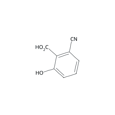 N#Cc1cccc(O)c1C(=O)O